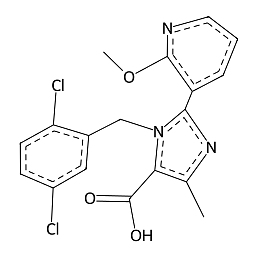 COc1ncccc1-c1nc(C)c(C(=O)O)n1Cc1cc(Cl)ccc1Cl